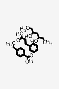 CCC(O)CC(O)CC.CCc1ccc(C(=O)O)cc1.O=C(O)C=Cc1ccccc1